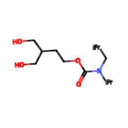 CC(C)CN(C(=O)OCCC(CO)CO)C(C)C